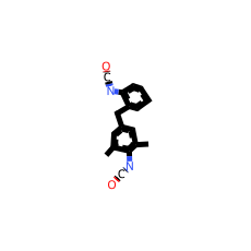 Cc1cc(Cc2ccccc2N=C=O)cc(C)c1N=C=O